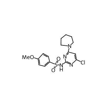 COc1ccc(S(=O)(=O)Nc2nc(Cl)cc(N3CCCCC3)n2)cc1